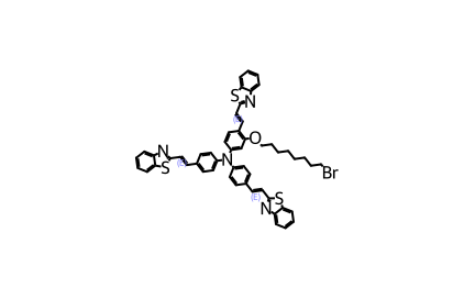 BrCCCCCCCCOc1cc(N(c2ccc(/C=C/c3nc4ccccc4s3)cc2)c2ccc(/C=C/c3nc4ccccc4s3)cc2)ccc1/C=C/c1nc2ccccc2s1